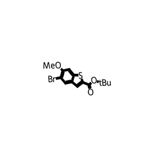 COc1cc2sc(C(=O)OC(C)(C)C)cc2cc1Br